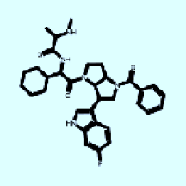 CNC(C)C(=O)NC(C(=O)N1CCC2C1C(c1c[nH]c3cc(F)ccc13)CN2C(=O)c1ccccc1)C1CCCCC1